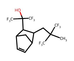 CC(CC1C2C=CC(C2)C1C(O)(C(F)(F)F)C(F)(F)F)(C(F)(F)F)C(F)(F)F